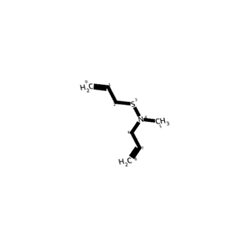 C=CCSN(C)CC=C